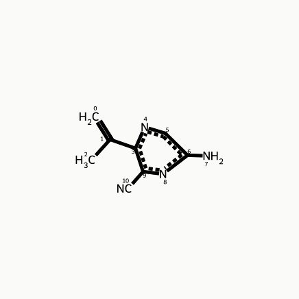 C=C(C)c1ncc(N)nc1C#N